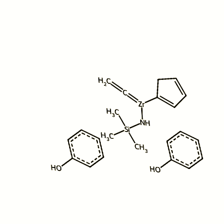 C=[C]=[Zr]([NH][Si](C)(C)C)[C]1=CC=CC1.Oc1ccccc1.Oc1ccccc1